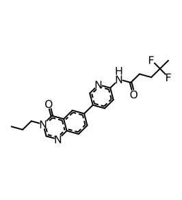 CCCn1cnc2ccc(-c3ccc(NC(=O)CCC(C)(F)F)nc3)cc2c1=O